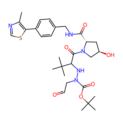 Cc1ncsc1-c1ccc(CNC(=O)[C@@H]2C[C@@H](O)CN2C(=O)C(NN(CC=O)C(=O)OC(C)(C)C)C(C)(C)C)cc1